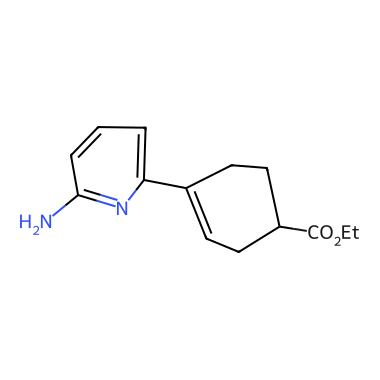 CCOC(=O)C1CC=C(c2cccc(N)n2)CC1